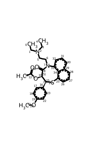 CCN(CC)CCN1C(=O)[C@H](OC(C)=O)[C@H](c2ccc(OC)cc2)Sc2cccc3cccc1c23